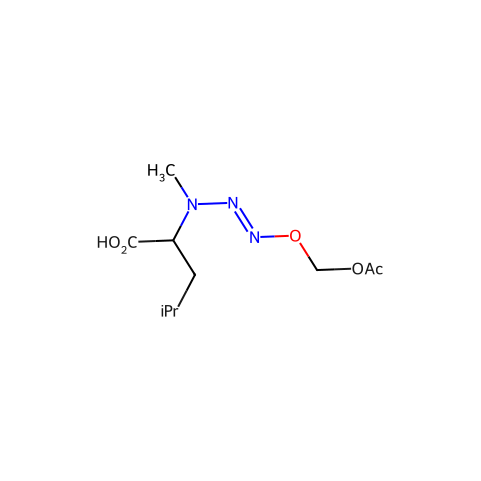 CC(=O)OCON=NN(C)C(CC(C)C)C(=O)O